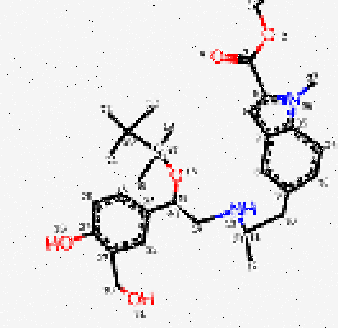 CCOC(=O)c1cc2cc(C[C@@H](C)NC[C@H](O[Si](C)(C)C(C)(C)C)c3ccc(O)c(CO)c3)ccc2n1C